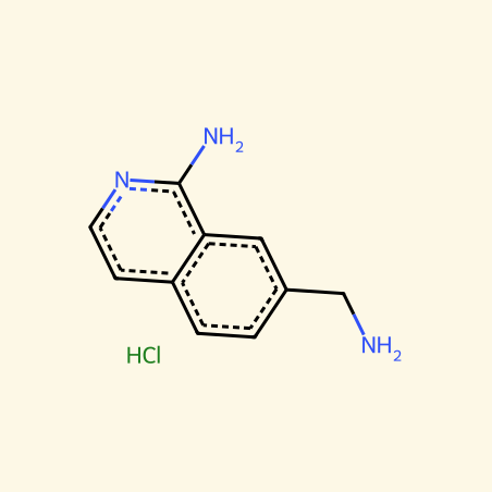 Cl.NCc1ccc2ccnc(N)c2c1